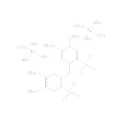 CCCC[N+](CCCC)(CCCC)CCCC.CCCC[N+](CCCC)(CCCC)CCCC.COc1cc(Oc2cc(OC)c(OC)cc2S(=O)(=O)[O-])c(S(=O)(=O)[O-])cc1OC